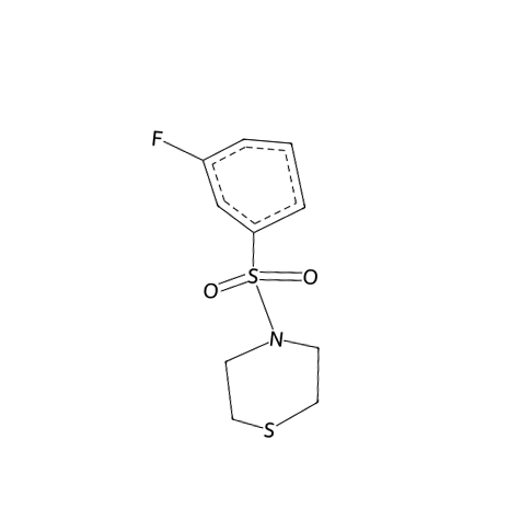 O=S(=O)(c1cccc(F)c1)N1CCSCC1